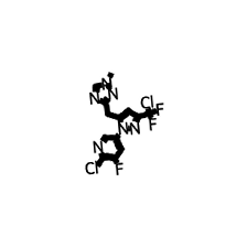 Cn1cnc(Cc2cc(C(F)(F)Cl)nn2-c2cnc(Cl)c(F)c2)n1